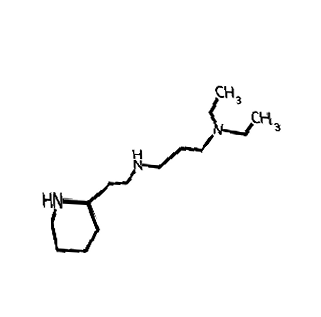 CCN(CC)CCCNCCC1CCCCN1